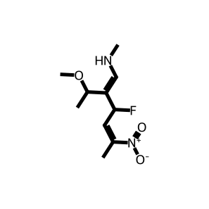 CN/C=C(/C(F)C=C(C)[N+](=O)[O-])C(C)OC